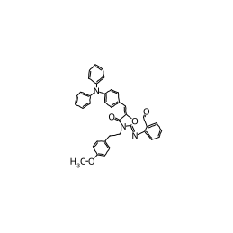 COc1ccc(CCN2C(=O)/C(=C\c3ccc(N(c4ccccc4)c4ccccc4)cc3)O/C2=N\c2ccccc2C=O)cc1